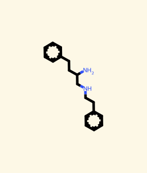 NC(CCc1ccccc1)CNCCc1ccccc1